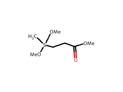 COC(=O)CC[Si](C)(OC)OC